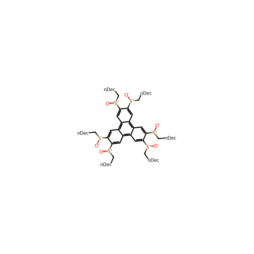 CCCCCCCCCCC[S+]([O-])c1cc2c3cc([S+]([O-])CCCCCCCCCCC)c([S+]([O-])CCCCCCCCCCC)cc3c3cc([S+]([O-])CCCCCCCCCCC)c([S+]([O-])CCCCCCCCCCC)cc3c2cc1[S+]([O-])CCCCCCCCCCC